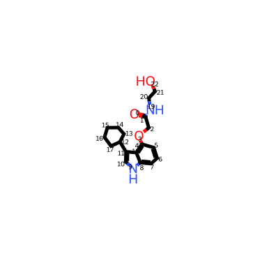 O=C(COc1cccc2[nH]cc(C3CCCCC3)c12)NCCO